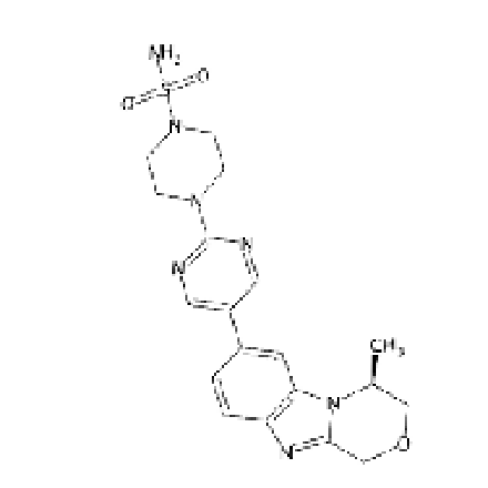 C[C@H]1COCc2nc3ccc(-c4cnc(N5CCN(S(N)(=O)=O)CC5)nc4)cc3n21